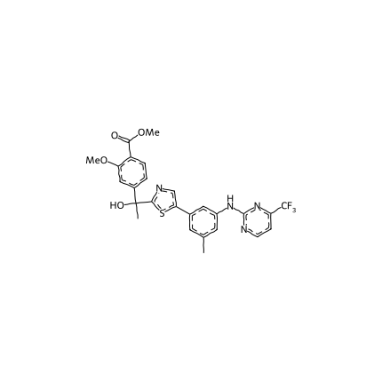 COC(=O)c1ccc(C(C)(O)c2ncc(-c3cc(C)cc(Nc4nccc(C(F)(F)F)n4)c3)s2)cc1OC